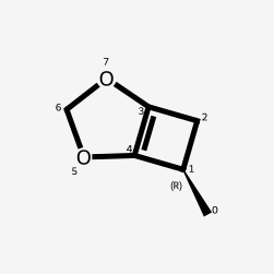 C[C@@H]1CC2=C1OCO2